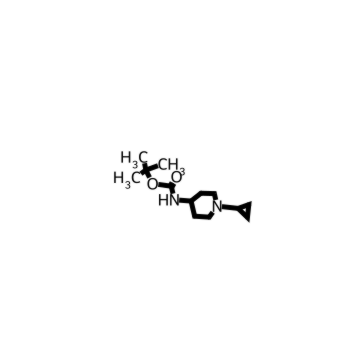 CC(C)(C)OC(=O)NC1CCN(C2CC2)CC1